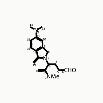 C=C(NC)C(CCC=O)N1Cc2cc(N(C)C)ccc2C1=C